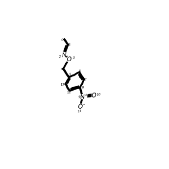 C/C=N/OCc1ccc([N+](=O)[O-])cc1